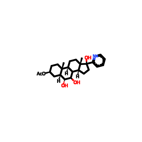 CC(=O)O[C@H]1CC[C@@]2(C)[C@H](C1)[C@@H](O)[C@H](O)C1[C@@H]2CC[C@@]2(C)[C@H]1CC[C@@]2(O)c1ccccn1